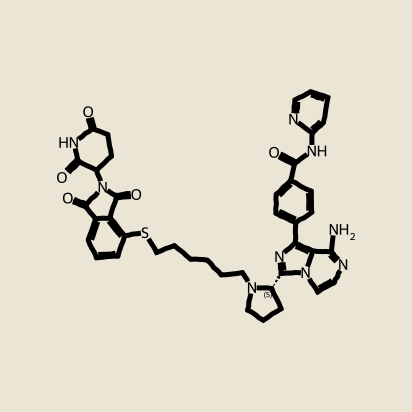 Nc1nccn2c([C@@H]3CCCN3CCCCCCSc3cccc4c3C(=O)N(C3CCC(=O)NC3=O)C4=O)nc(-c3ccc(C(=O)Nc4ccccn4)cc3)c12